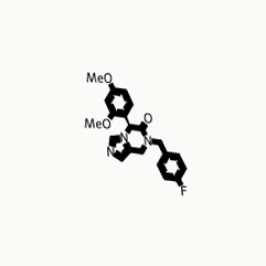 COc1ccc([C@H]2C(=O)N(Cc3ccc(F)cc3)Cc3cncn32)c(OC)c1